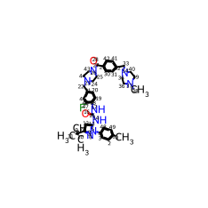 Cc1ccc(-n2nc(C(C)(C)C)cc2NC(=O)Nc2ccc(CN3CCN(C(=O)c4ccc(CN5CCN(C)CC5)cc4)CC3)cc2F)cc1